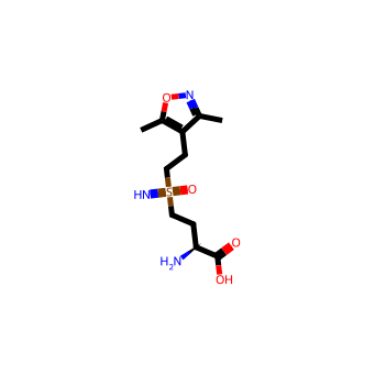 Cc1noc(C)c1CCS(=N)(=O)CC[C@H](N)C(=O)O